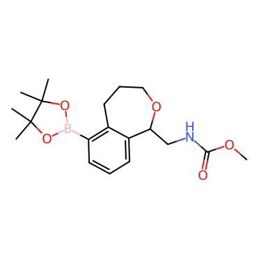 COC(=O)NCC1OCCCc2c(B3OC(C)(C)C(C)(C)O3)cccc21